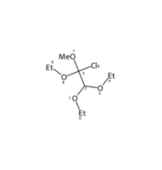 CCOC(OCC)C(Cl)(OC)OCC